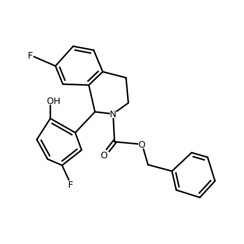 O=C(OCc1ccccc1)N1CCc2ccc(F)cc2C1c1cc(F)ccc1O